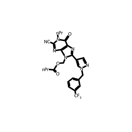 CCCC(=O)OCn1c(-c2cnn(Cc3cccc(C(F)(F)F)c3)c2)nc2c(=O)n(CCC)c(C#N)nc21